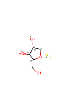 OC[C@H]1O[CH][C@@H](O)[C@@H]1O.S